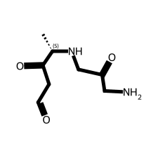 C[C@H](NCC(=O)CN)C(=O)CC=O